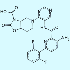 Nc1ccc(-c2c(F)cccc2F)nc1C(=O)Nc1cnccc1N1CCC2OC(=O)N(C(=O)O)C2C1